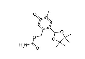 Cn1cc(C2OC(C)(C)C(C)(C)O2)c(COC(N)=O)cc1=O